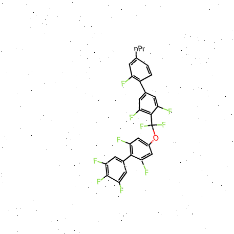 CCCc1ccc(-c2cc(F)c(C(F)(F)Oc3cc(F)c(-c4cc(F)c(F)c(F)c4)c(F)c3)c(F)c2)c(F)c1